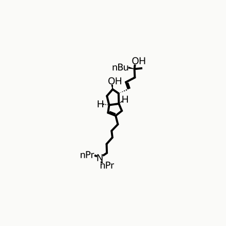 CCCC[C@](C)(O)C/C=C/[C@@H]1[C@H]2CC(CCCCCN(CCC)CCC)=C[C@H]2C[C@H]1O